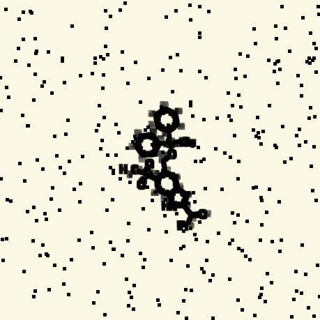 CC(C)C(=O)c1cc2cc(CO[Si](c3ccccc3)(c3ccccc3)C(C)(C)C)c(S(C)(=O)=O)cc2[nH]1